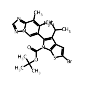 Cc1c(-c2c(C(C)C)c3cc(Br)sc3n2C(=O)OC(C)(C)C)cn2ncnc2c1C